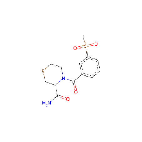 CS(=O)(=O)c1cccc(C(=O)N2CCSCC2C(N)=O)c1